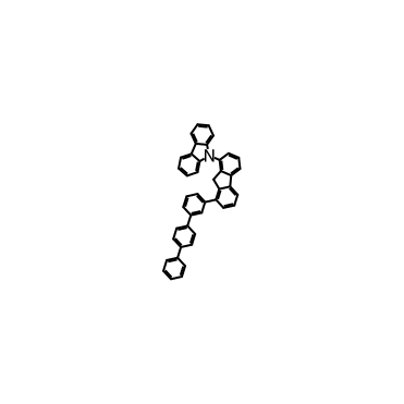 c1ccc(-c2ccc(-c3cccc(-c4cccc5c4Cc4c-5cccc4-n4c5ccccc5c5ccccc54)c3)cc2)cc1